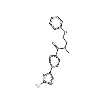 CN(CCOc1ccccc1)C(=O)c1ccc(-c2n[nH]c(C(F)(F)F)n2)cc1